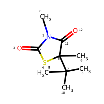 CN1C(=O)SC(C)(C(C)(C)C)C1=O